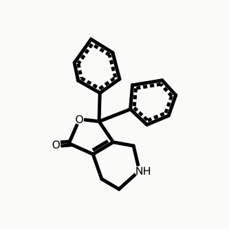 O=C1OC(c2ccccc2)(c2ccccc2)C2=C1CCNC2